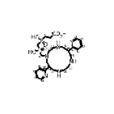 O=C(O)CCP(=O)(O)CP(=O)(O)CN1CCNCC(c2ccccn2)CNCCNCC(c2ccccn2)C1